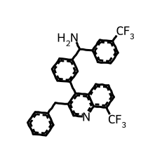 NC(c1cccc(-c2c(Cc3ccccc3)cnc3c(C(F)(F)F)cccc23)c1)c1cccc(C(F)(F)F)c1